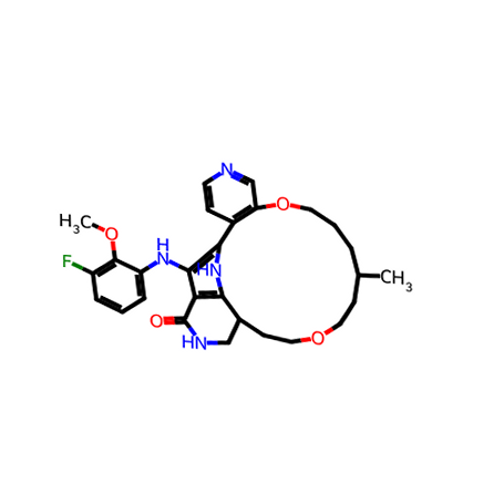 COc1c(F)cccc1Nc1c2[nH]c3c1C(=O)NCC3CCOCCC(C)CCCOc1cnccc1-2